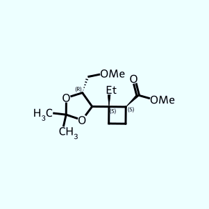 CC[C@]1(C2OC(C)(C)O[C@@H]2COC)CC[C@@H]1C(=O)OC